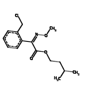 CON=C(C(=O)OCCC(C)C)c1ccccc1CCl